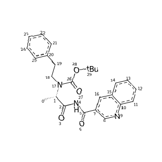 C[C@@H](C(=O)NC(=O)c1cnc2ccccc2c1)N(CCc1ccccc1)C(=O)OC(C)(C)C